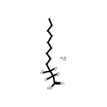 CCCCCCCCCC(Cl)(Cl)C(Cl)(Cl)C(=O)O.O